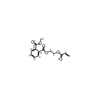 C=CC(=O)OCCOC(=O)c1ccccc1C(=O)OC